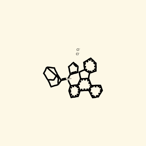 C1=CC[C]([Zr+2](=[C]2C3CC4CC(C3)CC2C4)[c]2cccc3c2c2c(c4ccccc43)-c3ccccc3C2)=C1.[Cl-].[Cl-]